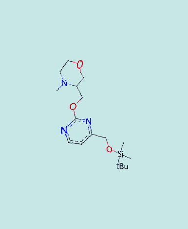 CN1CCOCC1COc1nccc(CO[Si](C)(C)C(C)(C)C)n1